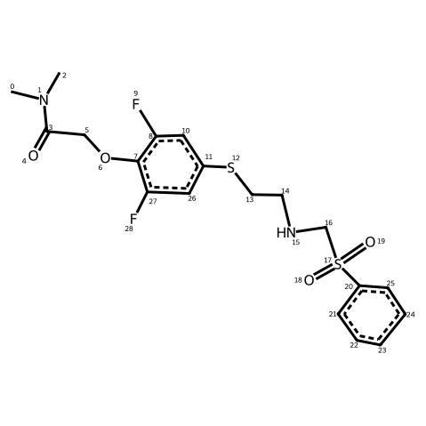 CN(C)C(=O)COc1c(F)cc(SCCNCS(=O)(=O)c2ccccc2)cc1F